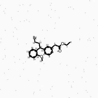 CCOC(=O)Cc1cccc(C(CCBr)c2ccccc2OC)c1